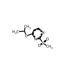 CC(C)Oc1ccnc(S(C)(=O)=O)n1